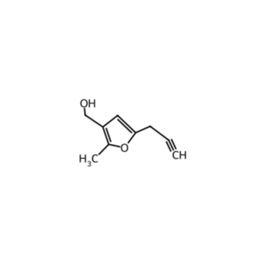 C#CCc1cc(CO)c(C)o1